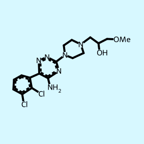 COCC(O)CN1CCN(c2nnc(-c3cccc(Cl)c3Cl)c(N)n2)CC1